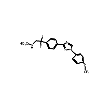 O=C(O)NCC(F)(F)c1ccc(-c2ncn(-c3ccc(OC(F)(F)F)cc3)n2)cc1